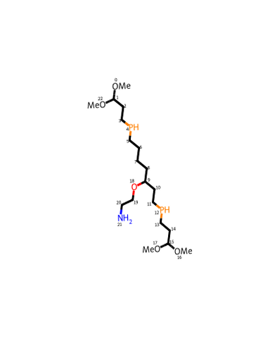 COC(CCPCCCCC(CCPCCC(OC)OC)OCCN)OC